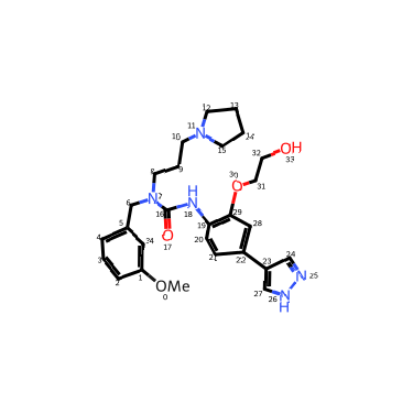 COc1cccc(CN(CCCN2CCCC2)C(=O)Nc2ccc(-c3cn[nH]c3)cc2OCCO)c1